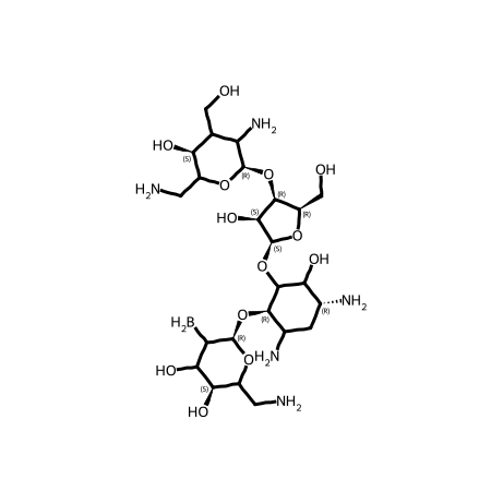 BC1C(O)[C@H](O)C(CN)O[C@@H]1O[C@@H]1C(N)C[C@@H](N)C(O)C1O[C@@H]1O[C@H](CO)[C@H](O[C@H]2OC(CN)[C@@H](O)C(CO)C2N)[C@@H]1O